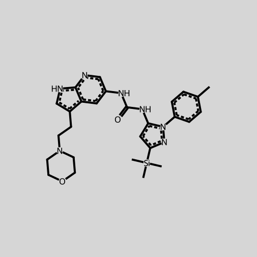 Cc1ccc(-n2nc([Si](C)(C)C)cc2NC(=O)Nc2cnc3[nH]cc(CCN4CCOCC4)c3c2)cc1